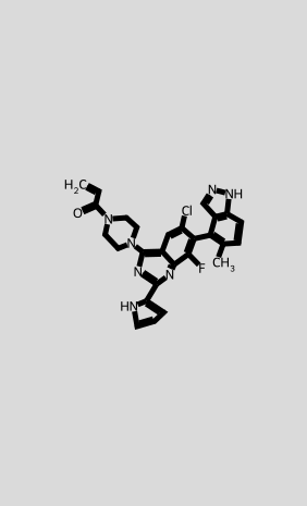 C=CC(=O)N1CCN(c2nc(-c3ccc[nH]3)nc3c(F)c(-c4c(C)ccc5[nH]ncc45)c(Cl)cc23)CC1